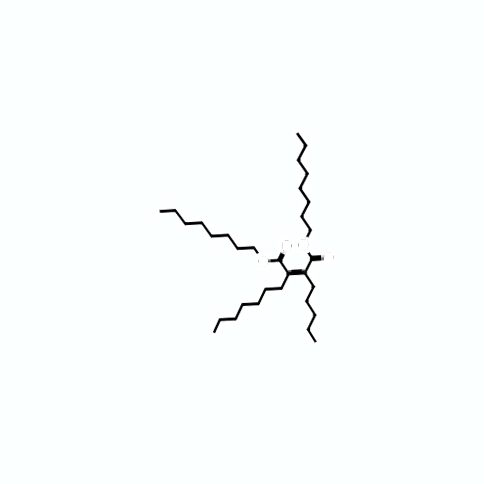 CCCCCCCCOC(=O)C(CCCCC)=C(CCCCCCC)C(=O)OCCCCCCCC